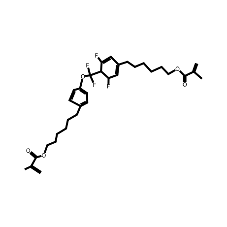 C=C(C)C(=O)OCCCCCCC1=CC(F)C(C(F)(F)Oc2ccc(CCCCCCOC(=O)C(=C)C)cc2)C(F)=C1